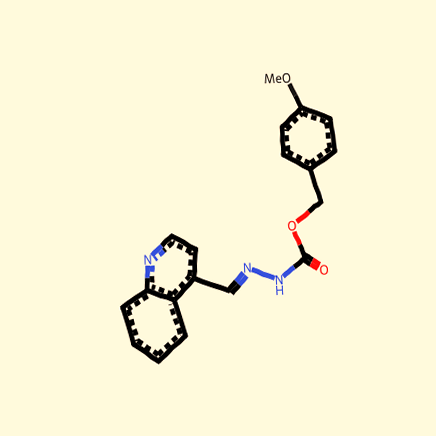 COc1ccc(COC(=O)NN=Cc2ccnc3ccccc23)cc1